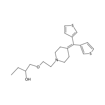 CCC(O)COCCN1CCC(=C(c2ccsc2)c2ccsc2)CC1